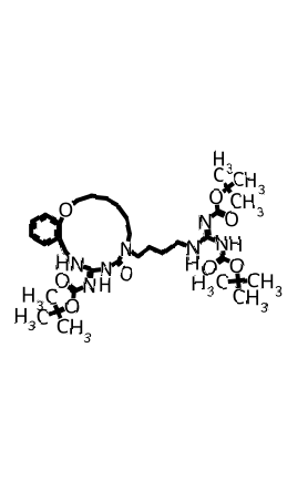 CC(C)(C)OC(=O)N=C(NCCCCN1CCCCCCOc2ccccc2CNC(=NC(=O)OC(C)(C)C)NC1=O)NC(=O)OC(C)(C)C